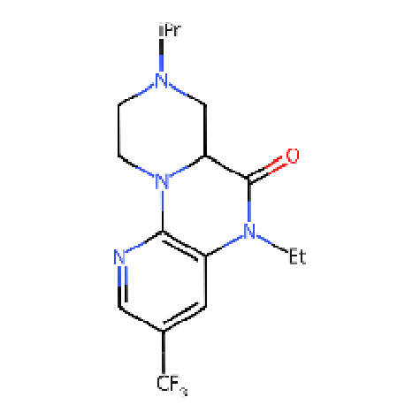 CCN1C(=O)C2CN(C(C)C)CCN2c2ncc(C(F)(F)F)cc21